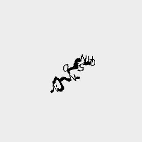 CN1CCC(CCN(C)C(=O)c2c[nH]c(=O)s2)CC1